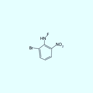 O=[N+]([O-])c1cccc(Br)c1NF